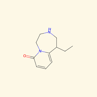 CCC1CNCCn2c1cccc2=O